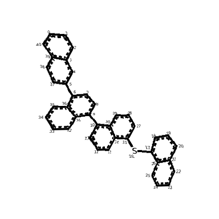 c1ccc2cc(-c3ccc(-c4cccc5c(Sc6cccc7ccccc67)cccc45)c4ccccc34)ccc2c1